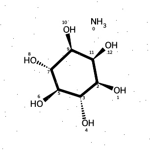 N.O[C@H]1[C@H](O)[C@@H](O)[C@H](O)[C@@H](O)[C@H]1O